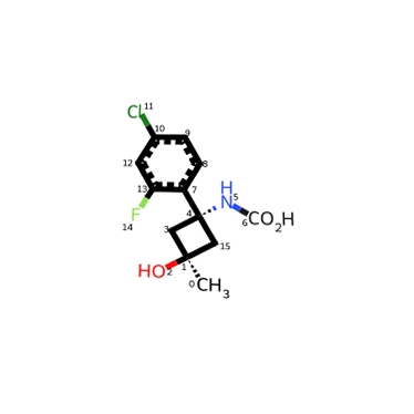 C[C@]1(O)C[C@@](NC(=O)O)(c2ccc(Cl)cc2F)C1